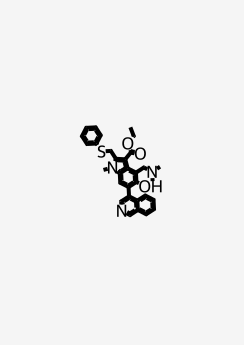 CCOC(=O)c1c(CSc2ccccc2)n(C)c2cc(-c3cncc4ccccc34)c(O)c(CN(C)C)c12